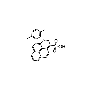 Cc1ccc(I)cc1.O=S(=O)(O)c1ccc2ccc3cccc4ccc1c2c34